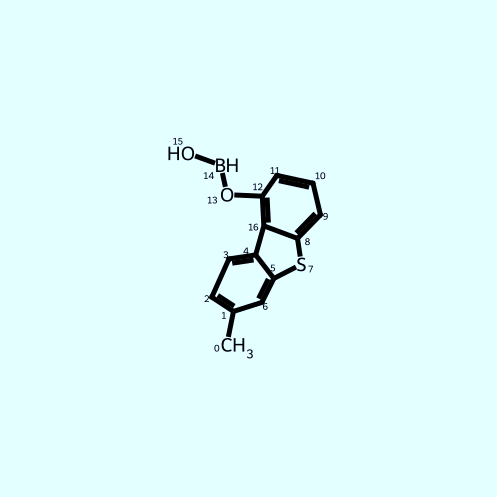 Cc1ccc2c(c1)sc1cccc(OBO)c12